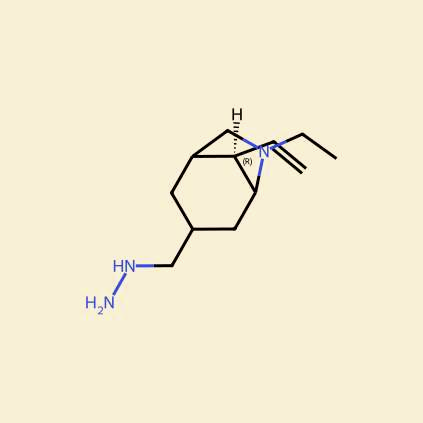 C=C[C@@H]1C2CC(CNN)CC1N(CC)C2